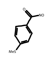 CSc1ccc(C(=O)N=O)cc1